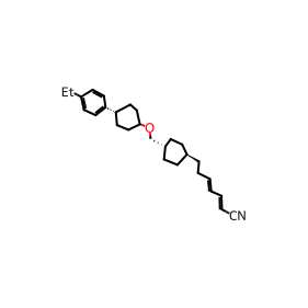 CCc1ccc([C@H]2CC[C@H](OC[C@H]3CC[C@H](CCC=CC=CC#N)CC3)CC2)cc1